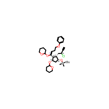 C#C[C@@H](Cl)C[C@H]1[C@H](/C(=C\CCOc2ccccc2)OC2CCCCO2)[C@@H](OC2CCCCO2)C[C@H]1O[Si](C)(C)C(C)(C)C